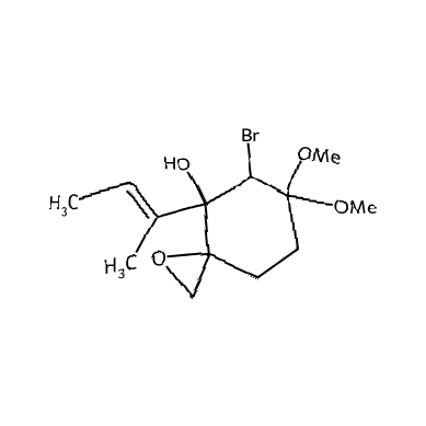 CC=C(C)C1(O)C(Br)C(OC)(OC)CCC12CO2